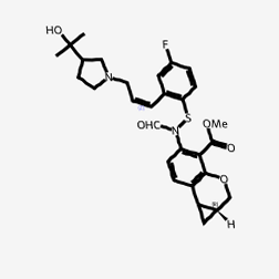 COC(=O)c1c(N(C=O)Sc2ccc(F)cc2/C=C\CN2CCC(C(C)(C)O)C2)ccc2c1OC[C@@H]1CC21